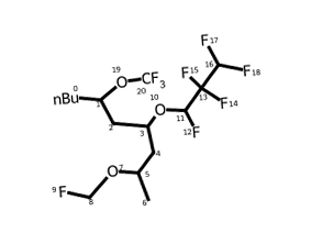 CCCCC(CC(CC(C)OCF)OC(F)C(F)(F)C(F)F)OC(F)(F)F